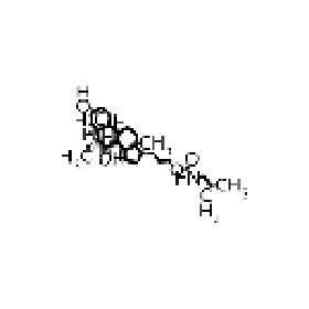 CC[C@H]1[C@@H](O)[C@@H]2[C@H](CC[C@]3(C)[C@@H](CCCOC(=O)NCC(C)C)CC[C@@H]23)[C@@]2(C)CC[C@@H](O)C[C@@H]12